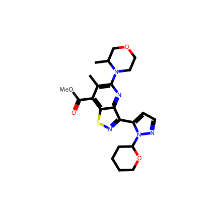 COC(=O)c1c(C)c(N2CCOCC2C)nc2c(-c3ccnn3C3CCCCO3)nsc12